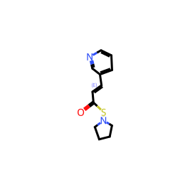 O=C(/C=C/c1cccnc1)SN1CCCC1